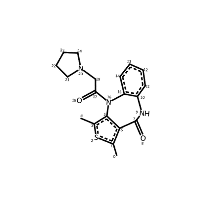 Cc1sc(C)c2c1C(=O)Nc1ccccc1N2C(=O)CN1CCCC1